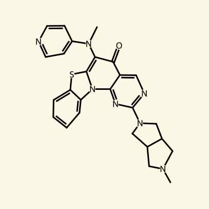 CN1CC2CN(c3ncc4c(=O)c(N(C)c5ccncc5)c5sc6ccccc6n5c4n3)CC2C1